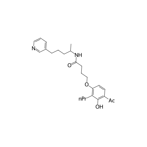 CCCc1c(OCCCC(=O)NC(C)CCCc2cccnc2)ccc(C(C)=O)c1O